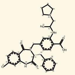 O=C(O)c1ccc(CN2C(=O)c3ccc(Cl)cc3NC(=O)[C@H]2Cc2ccccn2)cc1NC(O)CN1CCCC1